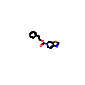 O=C(OCCc1ccccc1)N1C=c2scnc2=CC1